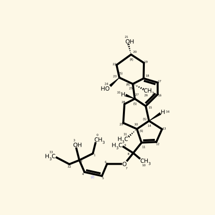 CCC(O)(/C=C\COC(C)(C)C1=CC[C@H]2C3=CC=C4C[C@@H](O)C[C@H](O)[C@]4(C)[C@H]3CC[C@]12C)CC